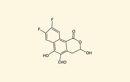 O=Cc1c2c(c3cc(F)c(F)cc3c1O)C(=O)OC(O)C2